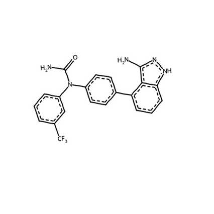 NC(=O)N(c1ccc(-c2cccc3[nH]nc(N)c23)cc1)c1cccc(C(F)(F)F)c1